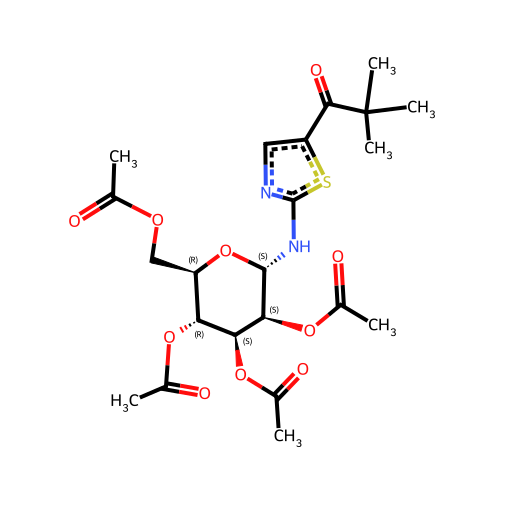 CC(=O)OC[C@H]1O[C@H](Nc2ncc(C(=O)C(C)(C)C)s2)[C@@H](OC(C)=O)[C@@H](OC(C)=O)[C@@H]1OC(C)=O